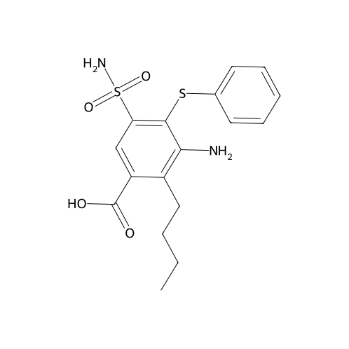 CCCCc1c(C(=O)O)cc(S(N)(=O)=O)c(Sc2ccccc2)c1N